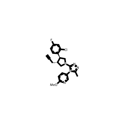 C#CC[C@H]1CN(c2nnc(C)n2-c2ccc(OC)nc2)C[C@@H]1c1ccc(F)cc1Cl